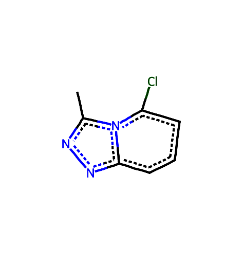 Cc1nnc2cccc(Cl)n12